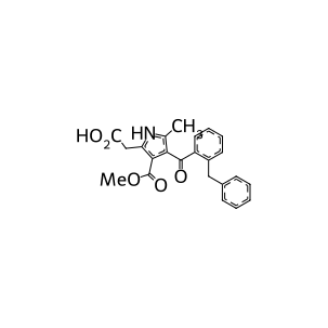 COC(=O)c1c(CC(=O)O)[nH]c(C)c1C(=O)c1ccccc1Cc1ccccc1